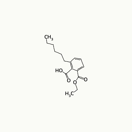 CCCCCCc1cccc(C(=O)OCC)c1C(=O)O